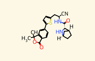 CC1(C)OC(=O)c2ccc(-c3ccc(C[C@@H](C#N)NC(=O)[C@H]4N[C@@H]5CC[C@H]4C5)s3)cc21